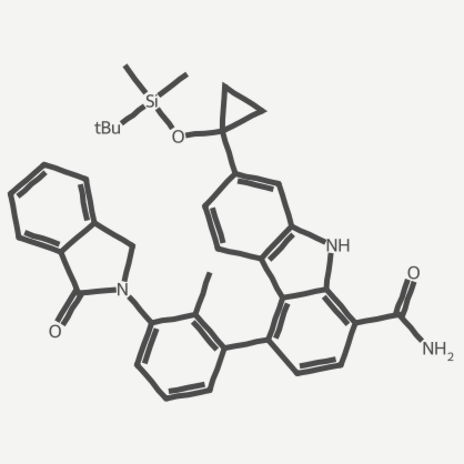 Cc1c(-c2ccc(C(N)=O)c3[nH]c4cc(C5(O[Si](C)(C)C(C)(C)C)CC5)ccc4c23)cccc1N1Cc2ccccc2C1=O